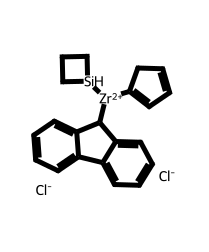 C1=CC[C]([Zr+2]([CH]2c3ccccc3-c3ccccc32)[SiH]2CCC2)=C1.[Cl-].[Cl-]